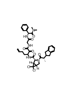 C=CCCC(NC(=O)[C@@H]1[C@@H]2[C@H](CN1C(=O)[C@@H](C)C1Cc3ccccc3C1)C2(Cl)Cl)C(=O)C(=O)NCC(=O)N[C@H](C(=O)N(C)C)c1ccccc1